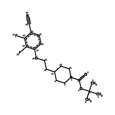 CC(C)(C)OC(=O)N1CCC(CCOc2ccc(C#N)c(F)c2F)CC1